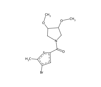 COC1CN(C(=O)c2cc(Br)c(C)s2)CC1OC